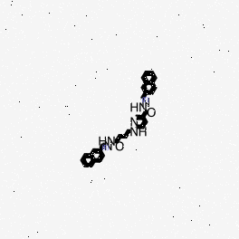 O=C(CCCNc1ccc(C(=O)N/N=C/c2ccc3ccccc3c2)cn1)N/N=C/c1ccc2ccccc2c1